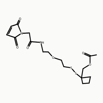 CC(=O)OCC1(SSCCOCCNC(=O)CN2C(=O)C=CC2=O)CCC1